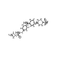 CN1CC(C(=O)NCc2ccc(Nc3ccc(N4CCC(C(F)(F)F)CC4)cc3)cc2)C1